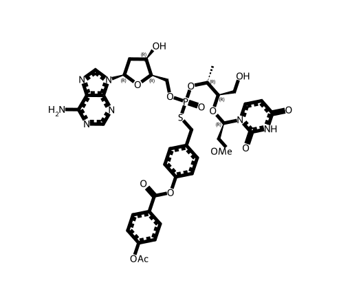 COC[C@@H](O[C@H](CO)[C@@H](C)OP(=O)(OC[C@H]1O[C@@H](n2cnc3c(N)ncnc32)C[C@H]1O)SCc1ccc(OC(=O)c2ccc(OC(C)=O)cc2)cc1)n1ccc(=O)[nH]c1=O